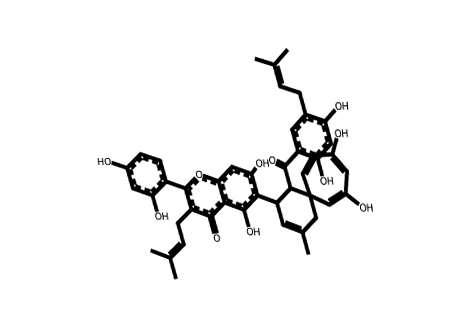 CC(C)=CCc1cc(C(=O)C2C(c3c(O)cc4oc(-c5ccc(O)cc5O)c(CC=C(C)C)c(=O)c4c3O)C=C(C)CC23C=CC(O)=CC(O)=C3)c(O)cc1O